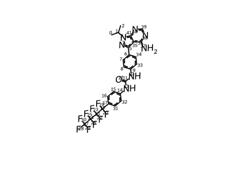 CC(C)n1nc(-c2ccc(NC(=O)Nc3ccc(C(F)(F)C(F)(F)C(F)(F)C(F)(F)F)cc3)cc2)c2c(N)ncnc21